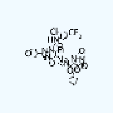 CCc1c(N2CCN(C(=O)c3nc4n(c(=O)c3OCc3ccccc3)CCOC4)CC2)c(=O)n2nc(C3=CCOCC3)nc2n1CC(=O)Nc1ccc(C(F)(F)F)cc1Cl